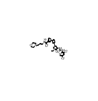 CCn1nc(-c2cccc(-c3cccc(C(=O)NCCCN4CCOCC4)c3)c2)cc(NC(=O)Nc2ncc(Cl)cc2Cl)c1=O